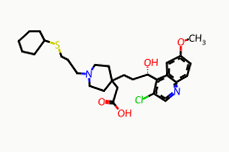 COc1ccc2ncc(Cl)c([C@@H](O)CCC3(CC(=O)O)CCN(CCCSC4CCCCC4)CC3)c2c1